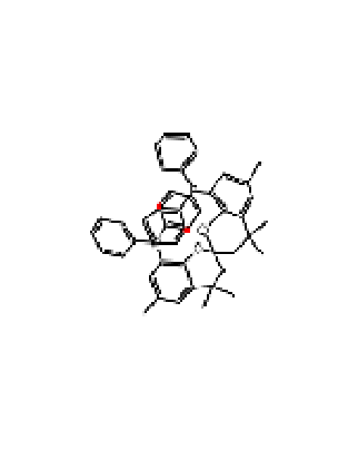 Cc1cc(P(c2ccccc2)c2ccccc2)c2c(c1)C(C)(C)CC1(CC(C)(C)c3cc(C)cc(P(c4ccccc4)c4ccccc4)c3O1)O2